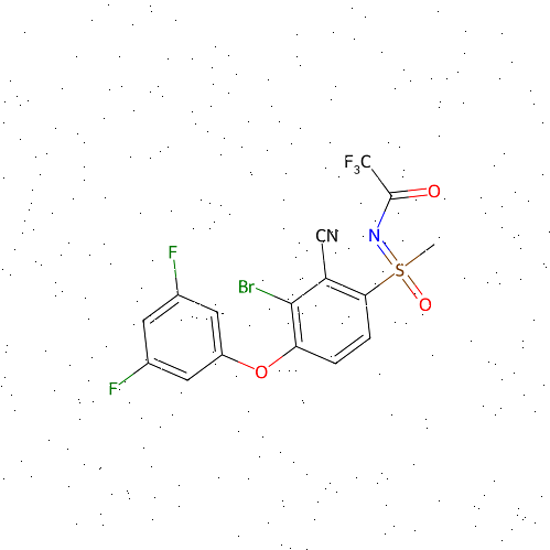 CS(=O)(=NC(=O)C(F)(F)F)c1ccc(Oc2cc(F)cc(F)c2)c(Br)c1C#N